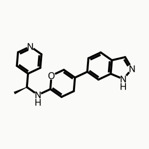 C[C@H](NC1=CCC(c2ccc3cn[nH]c3c2)=CO1)c1ccncc1